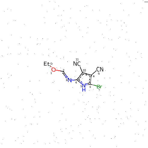 CCOC=Nc1[nH]c(Br)c(C#N)c1C#N